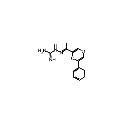 CC(=NNC(=N)N)C1=COC=C(C2=CC=CCC2)O1